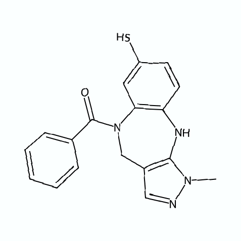 Cn1ncc2c1Nc1ccc(S)cc1N(C(=O)c1ccccc1)C2